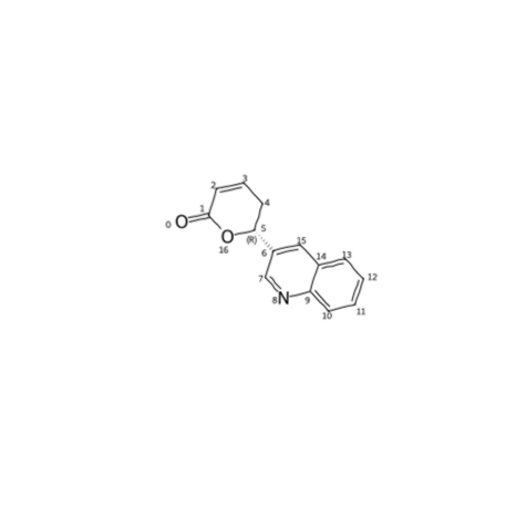 O=C1C=CC[C@H](c2cnc3ccccc3c2)O1